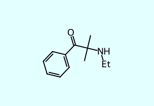 CCNC(C)(C)C(=O)c1ccccc1